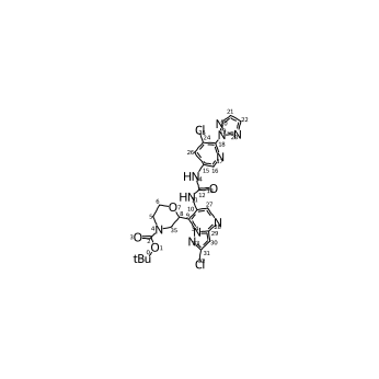 CC(C)(C)OC(=O)N1CCOC(c2c(NC(=O)Nc3cnc(-n4nccn4)c(Cl)c3)cnc3cc(Cl)nn23)C1